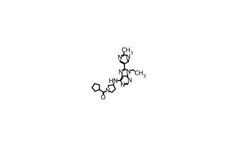 CCn1c(-c2cnc(C)nc2)nc2c(NC3CCN(C(=O)C4CCCC4)C3)ncnc21